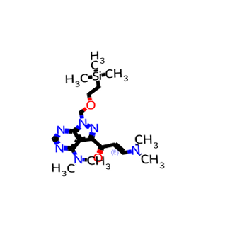 CN(C)/C=C/C(=O)c1nn(COCC[Si](C)(C)C)c2ncnc(N(C)C)c12